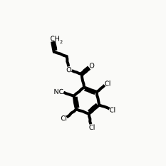 C=CCOC(=O)c1c(Cl)c(Cl)c(Cl)c(Cl)c1C#N